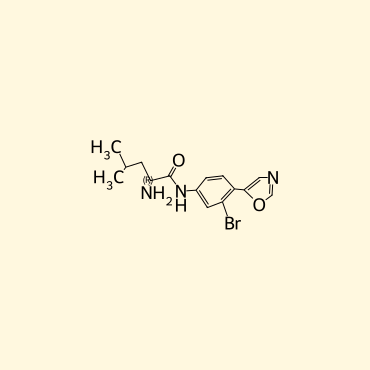 CC(C)C[C@@H](N)C(=O)Nc1ccc(-c2cnco2)c(Br)c1